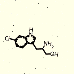 N[C@@H](CO)Cc1c[nH]c2cc(Cl)ccc12